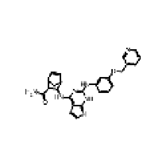 NC(=O)C1C2C=CC(C2)C1Nc1nc(Nc2cccc(OCc3cccnc3)c2)[nH]c2nccc1-2